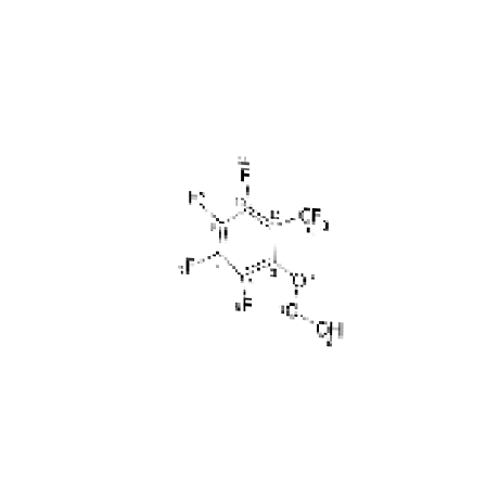 OOOc1c(F)c(F)c(F)c(F)c1C(F)(F)F